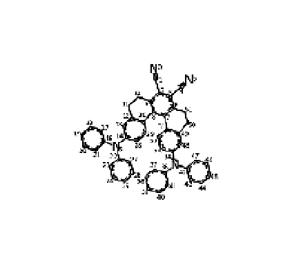 N#Cc1c(C#N)c2c(c3c1CCc1cc(N(c4ccccc4)c4ccccc4)ccc1-3)-c1ccc(N(c3ccccc3)c3ccccc3)cc1CC2